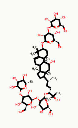 CC[C@@H]1O[C@H](O[C@H]2[C@H](O)[C@@H](O[C@H]3[C@H](O[C@H](CC[C@@H](C)C4CC[C@@]5(C)C6CC=C7C(CC[C@H](O[C@@H]8O[C@H](CO)[C@@H](O)[C@H](O[C@@H]9O[C@H](CO)[C@@H](O)[C@H](O)[C@H]9O)[C@H]8O)C7(C)C)[C@]6(C)[C@H](O)C[C@]45C)C(C)(C)O)O[C@H](CO)[C@@H](O)[C@@H]3O)O[C@@H](CO)[C@@H]2O)[C@@H](O)[C@H](O)[C@H]1O